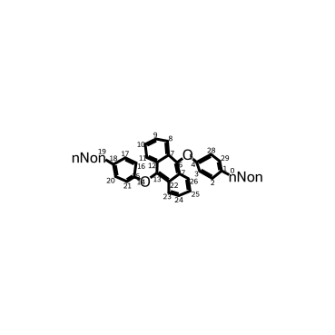 CCCCCCCCCc1ccc(Oc2c3ccccc3c(Oc3ccc(CCCCCCCCC)cc3)c3ccccc23)cc1